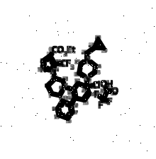 CCOC(=O)c1cnn(C2CCCN(C3=C(c4ccccc4)C=CC(Cl)(N4CCN(CC5CC5)CC4)C3)C2)c1C(F)(F)F.O=C(O)C(F)(F)F